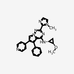 CO[C@@H]1C[C@H]1Nc1nc(-c2nccn2C)nn2cc(-c3ccncc3)c(-c3ccccc3)c12